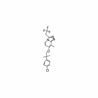 Cc1c(OCC(C)(C)c2ccc(Cl)cc2)ccn2c(CC(F)(F)F)nnc12